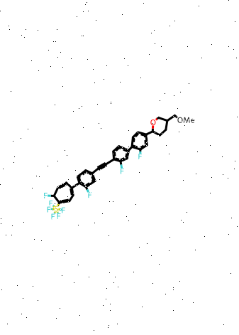 COCC1CCC(c2ccc(-c3ccc(C#Cc4ccc(C5=CC=C(S(F)(F)(F)(F)F)C(F)C=C5)c(F)c4)c(F)c3)c(F)c2)OC1